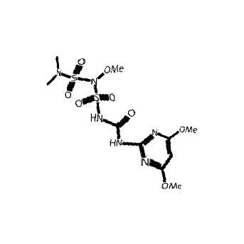 COc1cc(OC)nc(NC(=O)NS(=O)(=O)N(OC)S(=O)(=O)N(C)C)n1